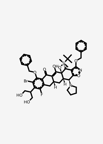 CC(C)(C)[Si](C)(C)O[C@@]12C(=O)c3c(OCc4ccccc4)noc3[C@@H](N3CCCC3)[C@@H]1C[C@@H]1Cc3c(F)c(C(CO)CO)c(Br)c(OCc4ccccc4)c3C(=O)C1=C2O